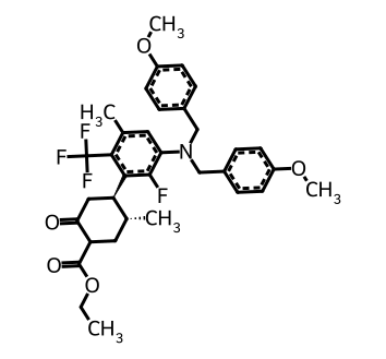 CCOC(=O)C1C[C@@H](C)[C@H](c2c(F)c(N(Cc3ccc(OC)cc3)Cc3ccc(OC)cc3)cc(C)c2C(F)(F)F)CC1=O